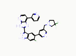 Fc1cc2[nH]nc(-c3nc4c(-c5cccnc5)ccnc4[nH]3)c2cc1-c1cncc(CN2CCC(F)(F)C2)c1